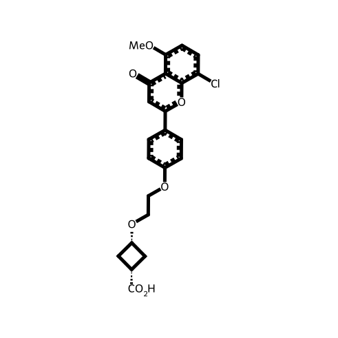 COc1ccc(Cl)c2oc(-c3ccc(OCCO[C@H]4C[C@@H](C(=O)O)C4)cc3)cc(=O)c12